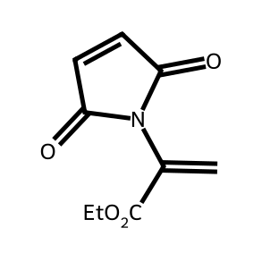 C=C(C(=O)OCC)N1C(=O)C=CC1=O